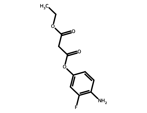 CCOC(=O)CC(=O)Oc1ccc(N)c(F)c1